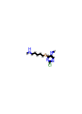 C=Nc1cnc(Cl)nc1SCCCCCNC